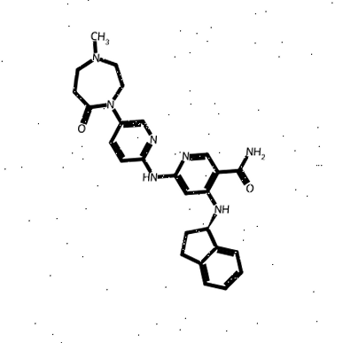 CN1CCC(=O)N(c2ccc(Nc3cc(N[C@@H]4CCc5ccccc54)c(C(N)=O)cn3)nc2)CC1